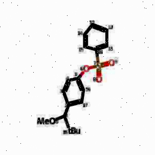 COC(c1ccc(OS(=O)(=O)c2ccccc2)cc1)C(C)(C)C